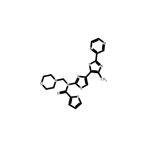 Cc1nc(-c2cnccn2)sc1-c1csc(N(CN2CCOCC2)C(=O)c2cccs2)n1